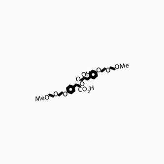 COCCOCCOc1ccc(CC(O)C(=O)OC(Cc2ccc(OCCOCCOC)cc2)C(=O)O)cc1